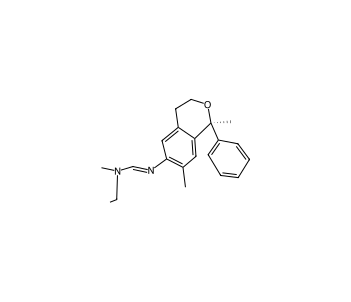 CCN(C)/C=N/c1cc2c(cc1C)[C@](C)(c1ccccc1)OCC2